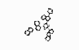 c1ccc(-c2ccc(-c3nc(-c4ccc(-c5ccc6ccccc6c5)c5ccccc45)nc(-c4cccc5c4sc4ccccc45)n3)c3ccccc23)cc1